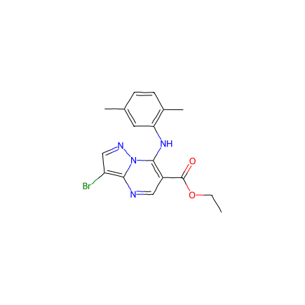 CCOC(=O)c1cnc2c(Br)cnn2c1Nc1cc(C)ccc1C